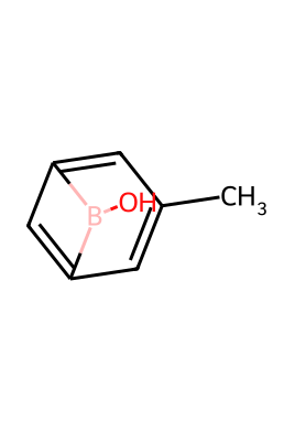 Cc1cc2cc(c1)B2O